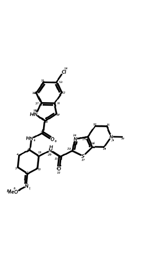 CON=C1CCC(NC(=O)c2cc3cc(Cl)ccc3[nH]2)C(NC(=O)c2nc3c(s2)CN(C)CC3)C1